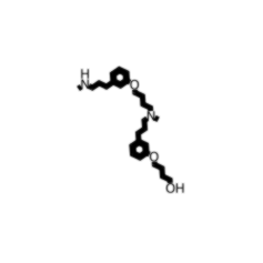 CNCCCc1cccc(OCCCCN(C)CCCc2cccc(OCCCCO)c2)c1